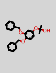 CC(C)(O)Oc1ccc(OCc2ccccc2)c(OCc2ccccc2)c1